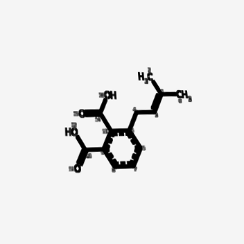 CC(C)=CCc1cccc(C(=O)O)c1C(=O)O